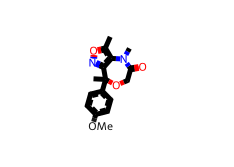 COc1ccc(C2(C)OCC(=O)N(C)c3c2noc3C)cc1